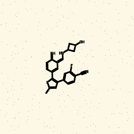 Cc1cc(-c2ccc(C#N)c(F)c2)c(C2=C/C(=C/NC3CC(O)C3)C(=N)C=C2)s1